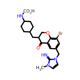 Cn1ccn(Cc2cc(Br)c3c(c2)C(=O)C(CC2CCC(NC(=O)O)CC2)CO3)c1=N